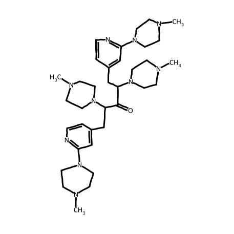 CN1CCN(c2cc(CC(C(=O)C(Cc3ccnc(N4CCN(C)CC4)c3)N3CCN(C)CC3)N3CCN(C)CC3)ccn2)CC1